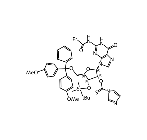 COc1ccc(C(OC[C@H]2O[C@@H](n3cnc4c(=O)[nH]c(NC(=O)C(C)C)nc43)[C@H](OC(=S)n3ccnc3)[C@@H]2O[Si](C)(C)C(C)(C)C)(c2ccccc2)c2ccc(OC)cc2)cc1